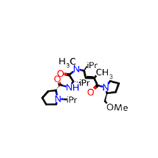 COC[C@@H]1CCCN1C(=O)/C(C)=C/[C@H](C(C)C)N(C)C(=O)[C@@H](NC(=O)[C@H]1CCCCN1C(C)C)C(C)C